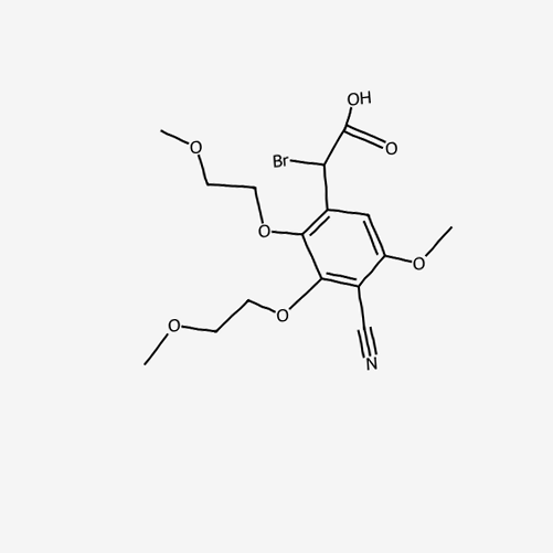 COCCOc1c(C(Br)C(=O)O)cc(OC)c(C#N)c1OCCOC